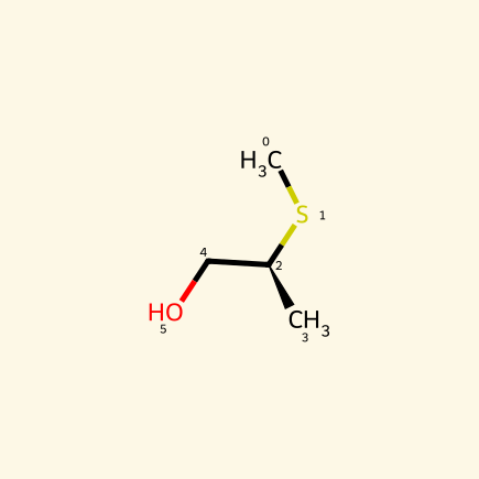 CS[C@@H](C)CO